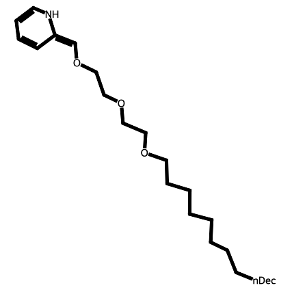 CCCCCCCCCCCCCCCCCCOCCOCCOC=C1C=CC=CN1